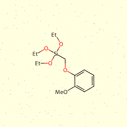 CCO[Si](COc1ccccc1OC)(OCC)OCC